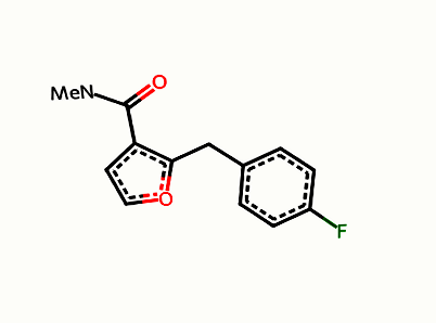 CNC(=O)c1ccoc1Cc1ccc(F)cc1